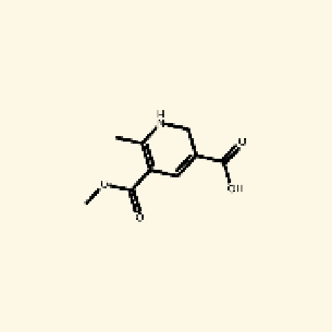 COC(=O)C1=C(C)NCC(C(=O)O)=C1